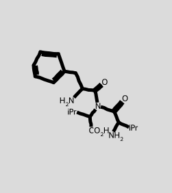 CC(C)C(N)C(=O)N(C(=O)C(N)Cc1ccccc1)C(C(=O)O)C(C)C